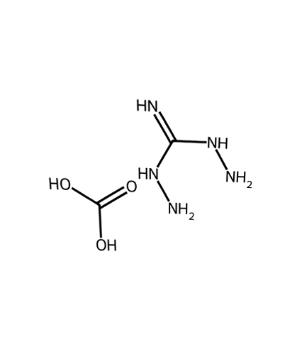 N=C(NN)NN.O=C(O)O